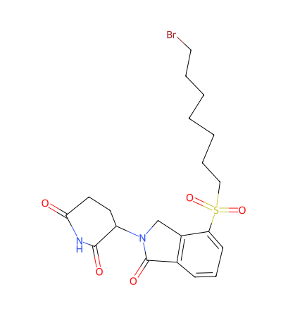 O=C1CCC(N2Cc3c(cccc3S(=O)(=O)CCCCCCCBr)C2=O)C(=O)N1